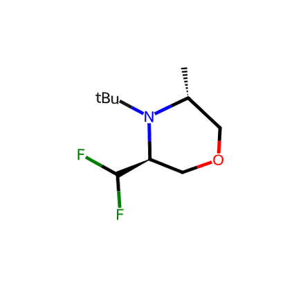 C[C@@H]1COC[C@@H](C(F)F)N1C(C)(C)C